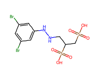 O=S(=O)(O)CC(CNNc1cc(Br)cc(Br)c1)S(=O)(=O)O